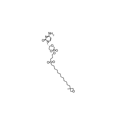 CC1(CCCCCCCCCCCCS(=O)(=O)CCCOP2(=O)CO[C@@H](Cn3ccc(N)nc3=O)CO2)COC1